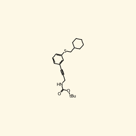 CC(C)(C)OC(=O)NCC#Cc1cccc(SCC2CCCCC2)c1